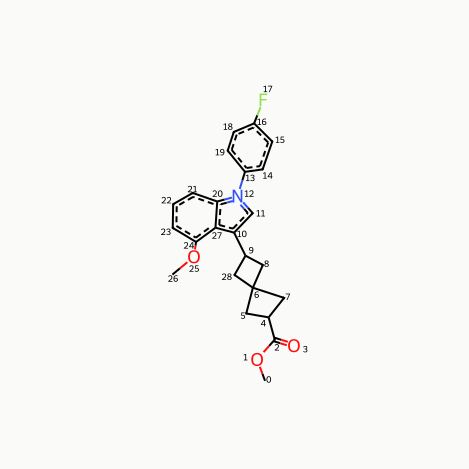 COC(=O)C1CC2(C1)CC(c1cn(-c3ccc(F)cc3)c3cccc(OC)c13)C2